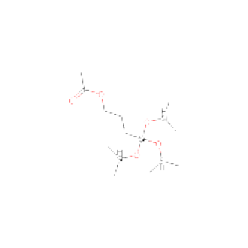 CC(=O)OCCC[Si](O[SiH](C)C)(O[SiH](C)C)O[SiH](C)C